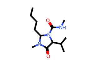 CCCCC1N(C)C(=O)C(C(C)C)N1C(=O)NC